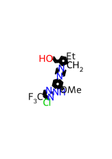 C=C1C(CC)CC(CCO)[C@H]1N1CCN(c2ccc(Nc3ncc(C(F)(F)F)c(Cl)n3)c(OC)c2)CC1